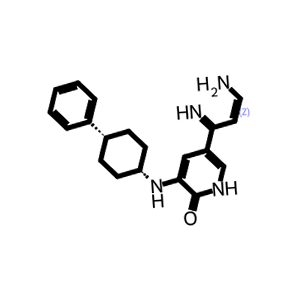 N=C(/C=C\N)c1c[nH]c(=O)c(N[C@H]2CC[C@@H](c3ccccc3)CC2)c1